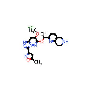 COc1cc2nnc(-c3cc(C)on3)n2nc1OC(C)c1ccc2c(n1)CCNC2.Cl